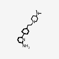 CN(C)C1CCN(CCc2ccc(-c3cccc(N)n3)cc2)CC1